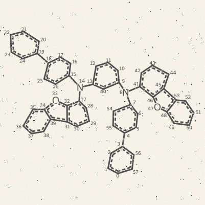 c1ccc(-c2ccc(N(c3cccc(N(c4ccc(-c5ccccc5)cc4)c4cccc5c4oc4ccccc45)c3)c3cccc4c3oc3ccccc34)cc2)cc1